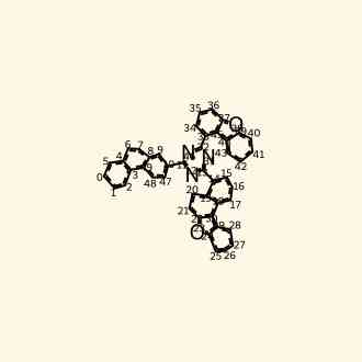 c1ccc2c(c1)ccc1cc(-c3nc(-c4cccc5c4ccc4oc6ccccc6c45)nc(-c4cccc5oc6ccccc6c45)n3)ccc12